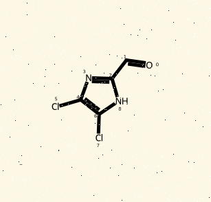 O=Cc1nc(Cl)c(Cl)[nH]1